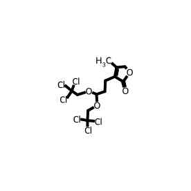 CC1=C(CCC(OCC(Cl)(Cl)Cl)OCC(Cl)(Cl)Cl)C(=O)OC1